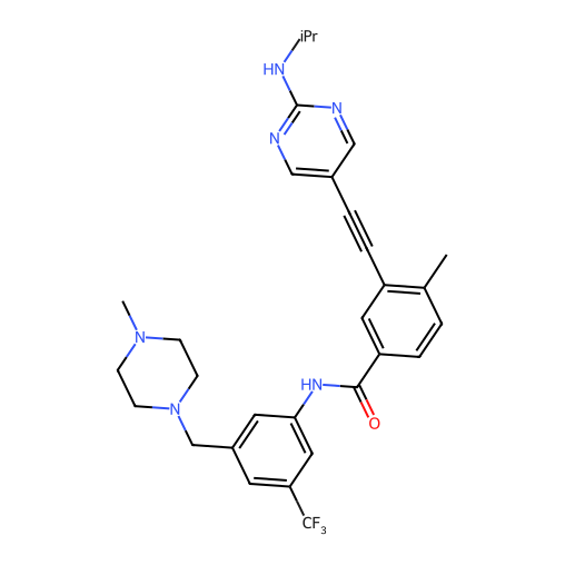 Cc1ccc(C(=O)Nc2cc(CN3CCN(C)CC3)cc(C(F)(F)F)c2)cc1C#Cc1cnc(NC(C)C)nc1